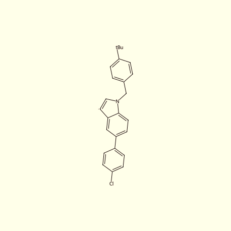 CC(C)(C)c1ccc(Cn2c[c]c3cc(-c4ccc(Cl)cc4)ccc32)cc1